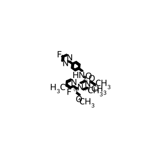 COCC[C@H](c1nccc(C)c1F)N1C[C@@H](C)N(C(=O)C(C)C)[C@@H](C(=O)NCc2ccc(-c3ncc(F)cn3)cc2)C1